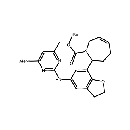 CNc1cc(C)nc(Nc2cc3c(c(C4CCC=CCN4C(=O)OC(C)(C)C)c2)OCC3)n1